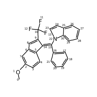 COc1ccc2c(c1)C=C(C(F)(F)F)C2=C(c1ccccc1)n1ccc2ccccc21